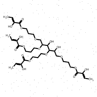 CC=C(O)C(=O)OCCCOCC(O)C(OCCCOC(=O)C(O)=CC)C(O)C(COCCCOC(=O)C(O)=CC)OCCCOC(=O)C(O)=CC